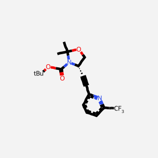 CC(C)(C)OC(=O)N1[C@@H](C#Cc2cccc(C(F)(F)F)n2)COC1(C)C